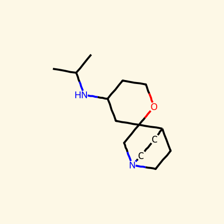 CC(C)NC1CCOC2(C1)CN1CCC2CC1